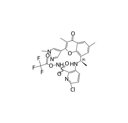 Cc1cc([C@@H](C)Nc2ccc(Cl)nc2S(=O)(=O)NOC(=O)C(F)(F)F)c2oc(-c3cnn(C)c3)c(C)c(=O)c2c1